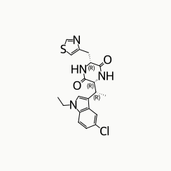 CCn1cc([C@@H](C)[C@H]2NC(=O)[C@@H](Cc3cscn3)NC2=O)c2cc(Cl)ccc21